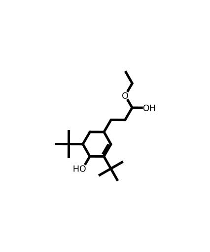 CCOC(O)CCC1C=C(C(C)(C)C)C(O)C(C(C)(C)C)C1